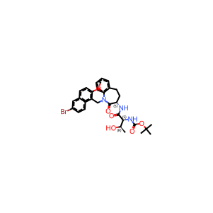 COc1ccc2cc(Br)ccc2c1CN1C(=O)[C@@H](NC(=O)[C@@H](NC(=O)OC(C)(C)C)[C@@H](C)O)CCc2ccccc21